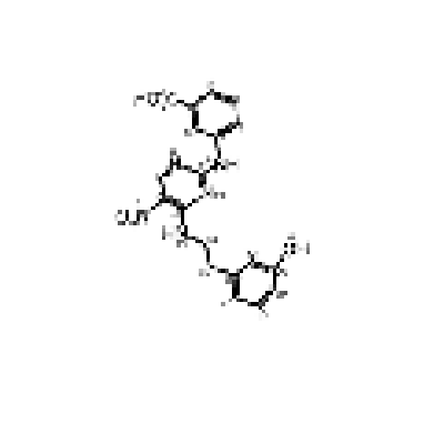 O=C(O)c1cccc(Nc2ncc([N+](=O)[O-])c(NCCc3cccc(O)c3)n2)c1